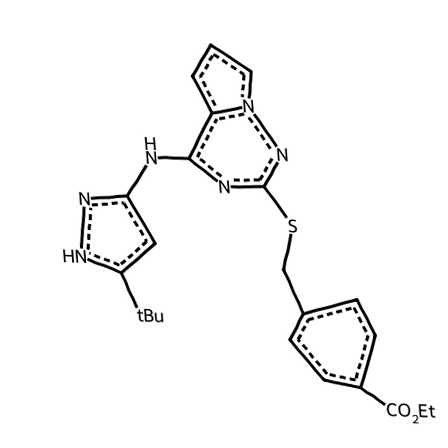 CCOC(=O)c1ccc(CSc2nc(Nc3cc(C(C)(C)C)[nH]n3)c3cccn3n2)cc1